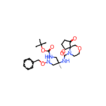 CC(C)(C)OC(=O)NC[C@](C)(CNOCc1ccccc1)NC(=O)N1CCOCC12C(=O)CCC2=O